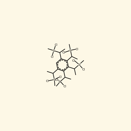 CC(c1cc(C(C)[Si](C)(Cl)Cl)c(C(C)[Si](C)(Cl)Cl)c(C(C)[Si](C)(Cl)Cl)c1C(C)[Si](C)(Cl)Cl)[Si](C)(Cl)Cl